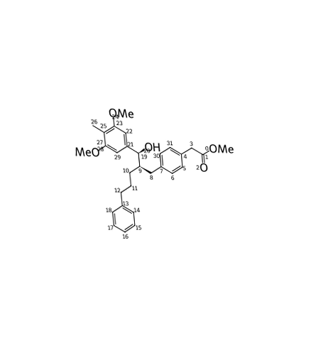 COC(=O)Cc1ccc(C[C@@H](CCCc2ccccc2)[C@H](O)c2cc(OC)c(C)c(OC)c2)cc1